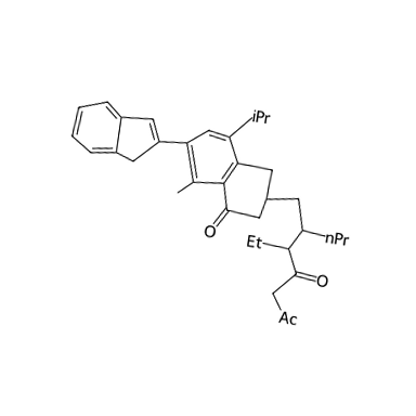 CCCC(CC1CC(=O)c2c(C)c(C3=Cc4ccccc4C3)cc(C(C)C)c2C1)C(CC)C(=O)CC(C)=O